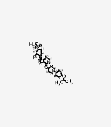 CC(C)Oc1ccc(N2CCC(Oc3ncnc4c3cnn4-c3ccc(S(C)(=O)=O)cc3F)CC2)cc1